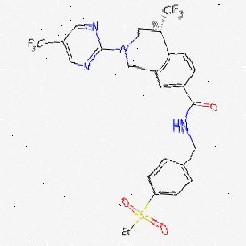 CCS(=O)(=O)c1ccc(CNC(=O)c2ccc3c(c2)CN(c2ncc(C(F)(F)F)cn2)C[C@@H]3C(F)(F)F)cc1